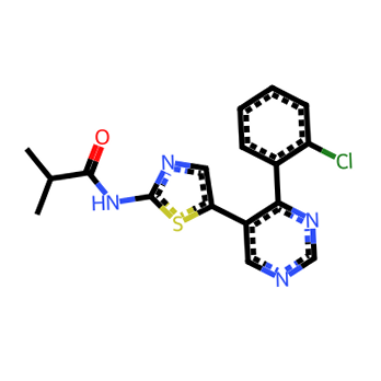 CC(C)C(=O)Nc1ncc(-c2cncnc2-c2ccccc2Cl)s1